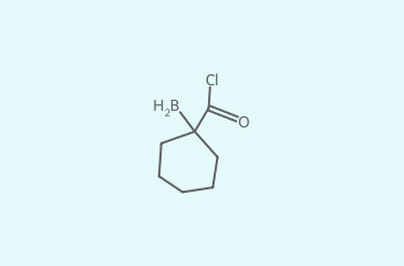 BC1(C(=O)Cl)CCCCC1